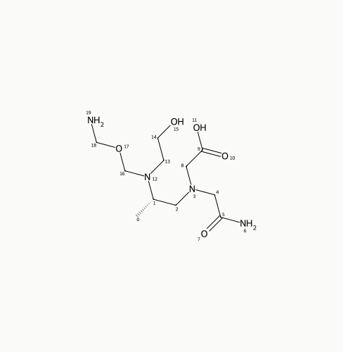 C[C@@H](CN(CC(N)=O)CC(=O)O)N(CCO)COCN